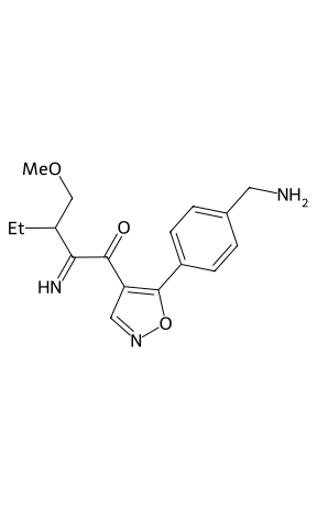 CCC(COC)C(=N)C(=O)c1cnoc1-c1ccc(CN)cc1